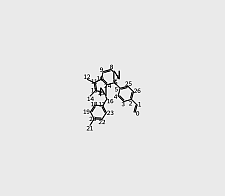 C=Cc1ccc(-c2nccc3c(C)c(C)n(Cc4ccc(C)cc4)c23)cc1